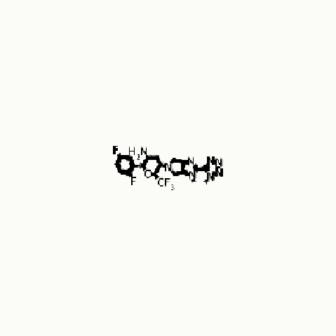 Cn1nnnc1-c1nc2c(n1C)CN([C@@H]1C[C@H](N)[C@@H](c3cc(F)ccc3F)OC1C(F)(F)F)C2